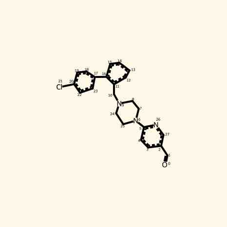 O=Cc1ccc(N2CCN(Cc3ccccc3-c3ccc(Cl)cc3)CC2)nc1